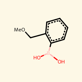 COCc1ccccc1B(O)O